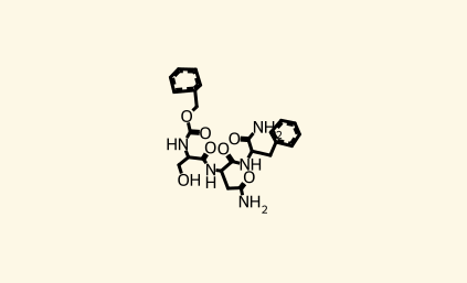 NC(=O)CC(NC(=O)C(CO)NC(=O)OCc1ccccc1)C(=O)NC(Cc1ccccc1)C(N)=O